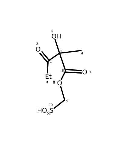 CCC(=O)C(C)(O)C(=O)OCS(=O)(=O)O